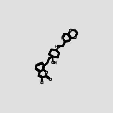 O=c1oc2c(CC[C@]3(O)CC[C@@H](NCc4cc5c(cn4)OCCO5)CC3)cccc2cc1Cl